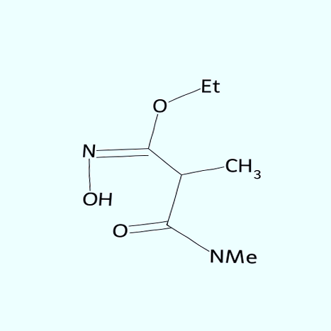 CCO/C(=N/O)C(C)C(=O)NC